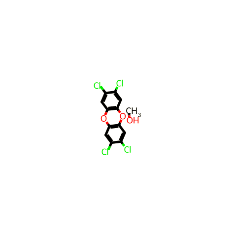 CO.Clc1cc2c(cc1Cl)Oc1cc(Cl)c(Cl)cc1O2